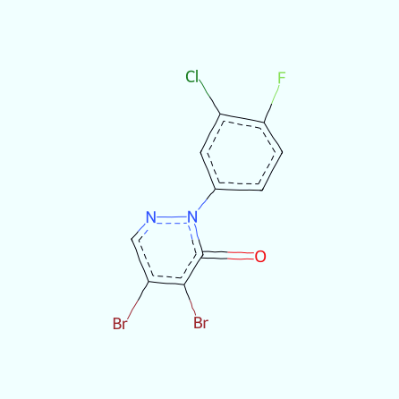 O=c1c(Br)c(Br)cnn1-c1ccc(F)c(Cl)c1